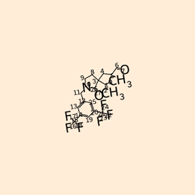 CC(C)C1(CCC=O)CCN(Cc2cc(C(F)(F)F)cc(C(F)(F)F)c2)C1=O